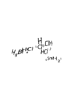 Cl.Cl.Cl.Cl.[BiH3].[SnH2]